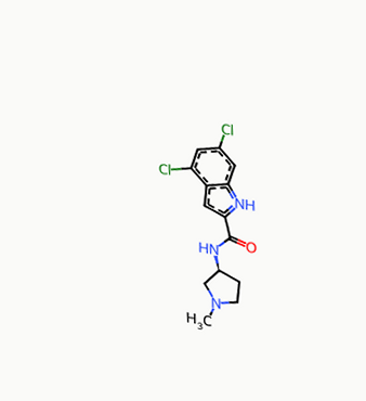 CN1CC[C@H](NC(=O)c2cc3c(Cl)cc(Cl)cc3[nH]2)C1